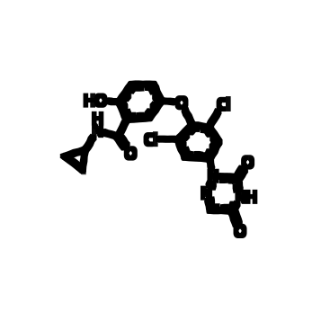 O=C(NC1CC1)c1cc(Oc2c(Cl)cc(-n3ncc(=O)[nH]c3=O)cc2Cl)ccc1O